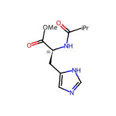 COC(=O)[C@H](Cc1cnc[nH]1)NC(=O)C(C)C